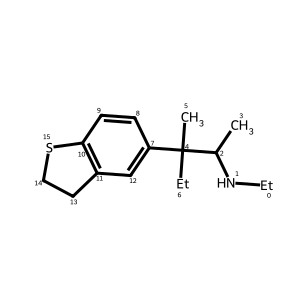 CCNC(C)C(C)(CC)c1ccc2c(c1)CCS2